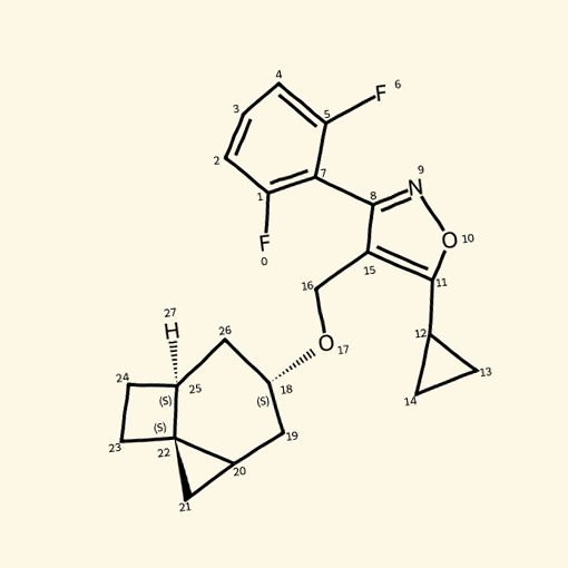 Fc1cccc(F)c1-c1noc(C2CC2)c1CO[C@@H]1CC2C[C@]23CC[C@H]3C1